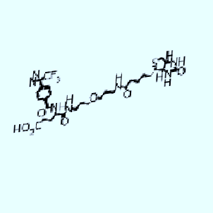 O=C(O)CCC(NC(=O)c1ccc(C2(C(F)(F)F)N=N2)cc1)C(=O)NCCCOCCCNC(=O)CCCC[C@@H]1SC[C@@H]2NC(=O)N[C@@H]21